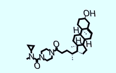 C[C@H](CCC(=O)N1CCN(C(=O)N(C)C2CC2)CC1)[C@H]1CC[C@H]2[C@@H]3CC=C4C[C@@H](O)CC[C@]4(C)[C@H]3CC[C@]12C